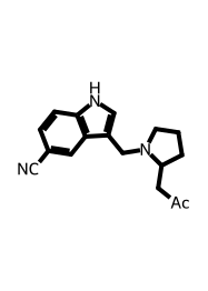 CC(=O)CC1CCCN1Cc1c[nH]c2ccc(C#N)cc12